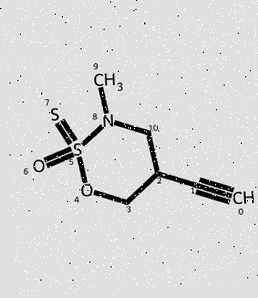 C#CC1COS(=O)(=S)N(C)C1